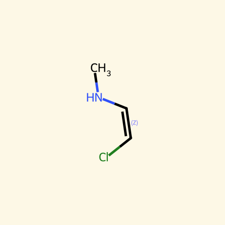 CN/C=C\Cl